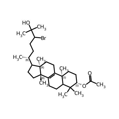 CC(=O)O[C@H]1CC[C@]2(C)C3=C(CCC2C1(C)C)[C@]1(C)CCC([C@H](C)CCC(Br)C(C)(C)O)[C@@]1(C)CC3